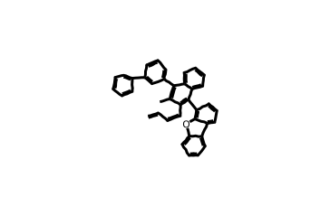 C=C/C=C\c1c(C)c(-c2cccc(-c3ccccc3)c2)c2ccccc2c1-c1cccc2c1oc1ccccc12